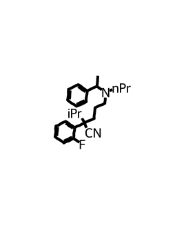 CCCN(CCCC(C#N)(c1ccccc1F)C(C)C)C(C)c1ccccc1